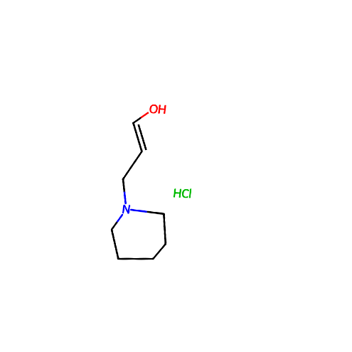 Cl.OC=CCN1CCCCC1